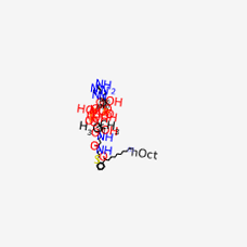 CCCCCCCC/C=C\CCCCCCCC(=O)c1ccccc1SCCNC(=O)CCNC(=O)[C@H](O)C(C)(C)COP(=O)(O)OP(=O)(O)OC[C@H]1O[C@@H](n2cnc3c(N)ncnc32)[C@H](O)[C@@H]1OP(=O)(O)O